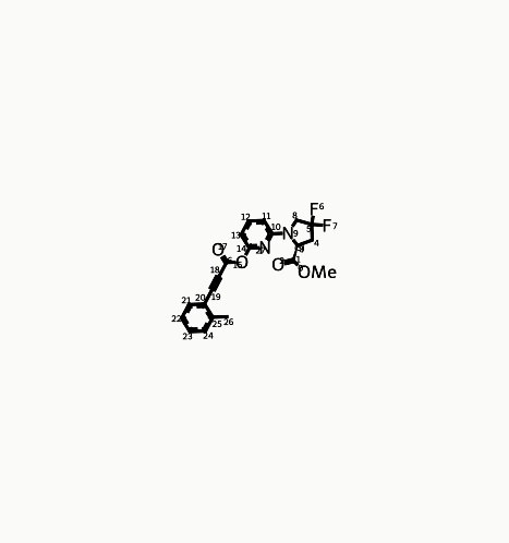 COC(=O)[C@@H]1CC(F)(F)CN1c1cccc(OC(=O)C#Cc2ccccc2C)n1